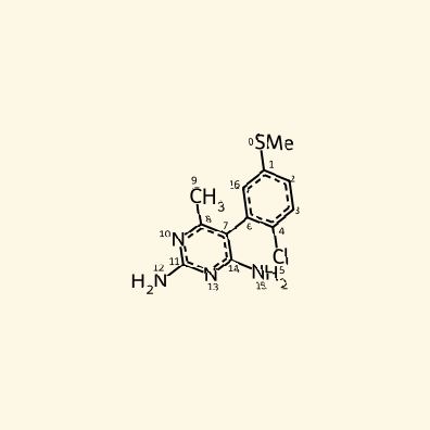 CSc1ccc(Cl)c(-c2c(C)nc(N)nc2N)c1